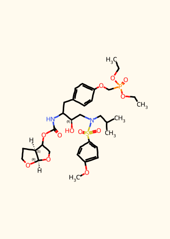 CCOP(=O)(COc1ccc(CC(NC(=O)OC2CO[C@H]3OCC[C@@H]23)[C@H](O)CN(CC(C)C)S(=O)(=O)c2ccc(OC)cc2)cc1)OCC